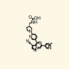 Cn1cc(-c2cn3ncc(C#N)c3c(-c3ccc(N4CC[C@@H](CNC(=O)O)C4)nc3)n2)cn1